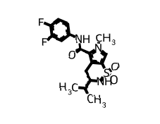 CC(C)C1Cc2c(cn(C)c2C(=O)Nc2ccc(F)c(F)c2)S(=O)(=O)N1